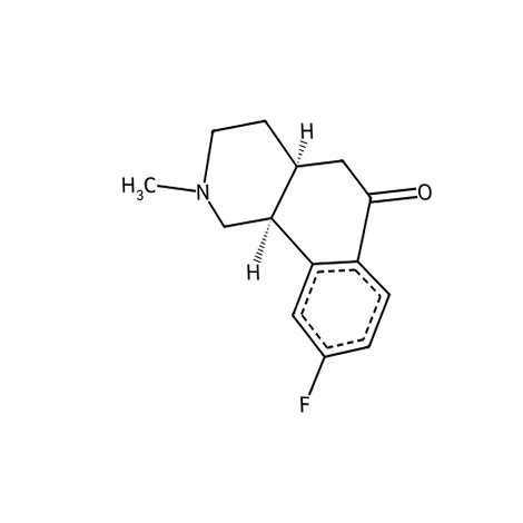 CN1CC[C@H]2CC(=O)c3ccc(F)cc3[C@H]2C1